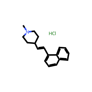 CN1CCC(C=Cc2cccc3ccccc23)CC1.Cl